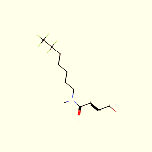 CN(CCCCCC(F)(F)C(F)(F)F)C(=O)/C=C/CBr